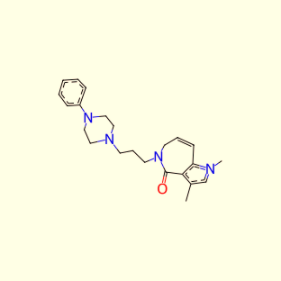 Cc1cn(C)c2c1C(=O)N(CCCN1CCN(c3ccccc3)CC1)CC=C2